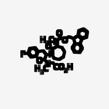 CN(CC(=O)O)C(=O)C(Cc1ccc(F)cc1)N1CCCCCC(N(C)C(=O)OCC2c3ccccc3-c3ccccc32)C1=O